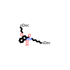 CCCCCCCCCCCCCCCCNC(=O)c1cc(OCCCCCCCCCCCCCC)c2ccccc2c1O